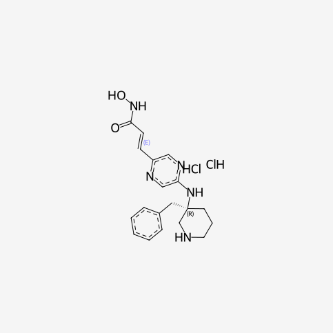 Cl.Cl.O=C(/C=C/c1cnc(N[C@@]2(Cc3ccccc3)CCCNC2)cn1)NO